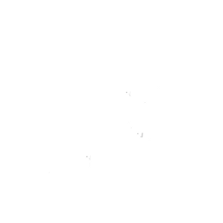 NC(=O)CNCC(=O)O.O=C(O)C1(NCC(c2ccccc2)c2ccccc2)CC1